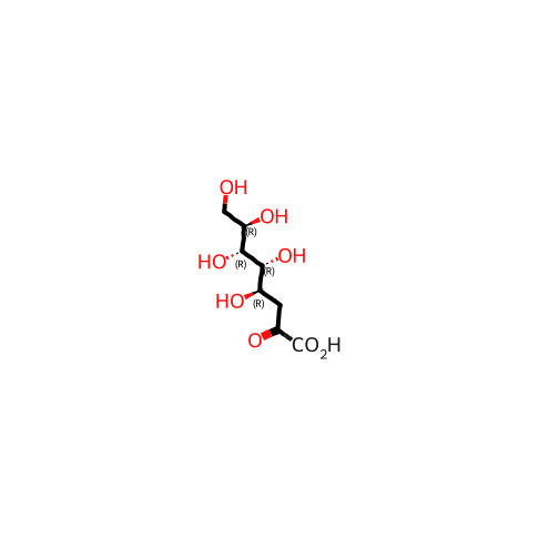 O=C(O)C(=O)C[C@@H](O)[C@@H](O)[C@H](O)[C@H](O)CO